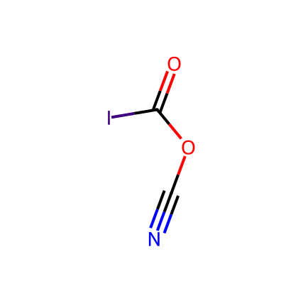 N#COC(=O)I